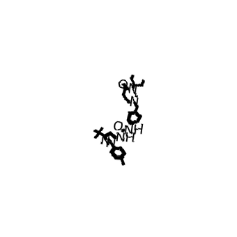 CCC(CC)N1CN(Cc2ccc(NC(=O)Nc3cc(C(C)(C)C)nn3-c3ccc(C)cc3)cc2)CCC1=O